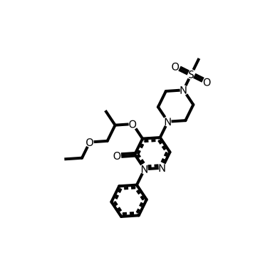 CCOCC(C)Oc1c(N2CCN(S(C)(=O)=O)CC2)cnn(-c2ccccc2)c1=O